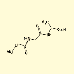 CCCCOC(=O)NCC(=O)NC(C)C(=O)O